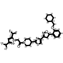 O=C(Cn1nc(C(F)F)cc1C(F)F)N1CCC(c2nc(C3=NOC(c4ccccc4OCC4CCCCC4)C3)cs2)CC1